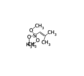 CO[Si](C=C(C)C)(OC)OC